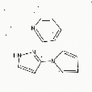 c1ccn(-c2cc[nH]n2)c1.c1ccncc1